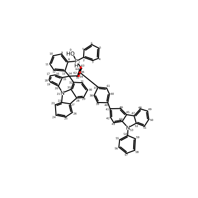 O[PH]1(c2ccccc2)c2ccccc2C2(c3ccccc3-n3c4ccccc4c4cccc2c43)c2cc(-c3ccc(-c4ccc5c(c4)c4ccccc4n5-c4ccccc4)cc3)ccc21